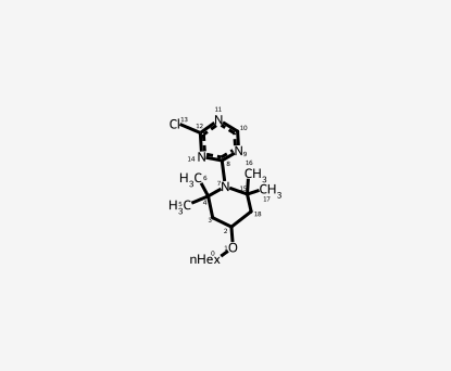 CCCCCCOC1CC(C)(C)N(c2ncnc(Cl)n2)C(C)(C)C1